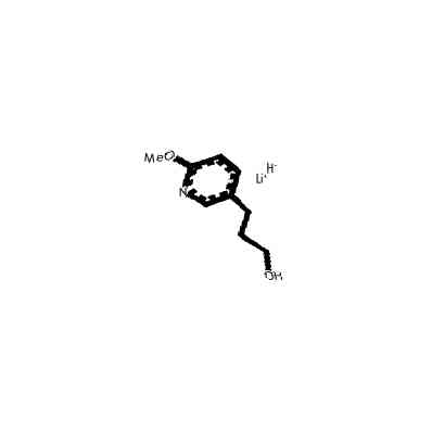 COc1ccc(CCCO)cn1.[H-].[Li+]